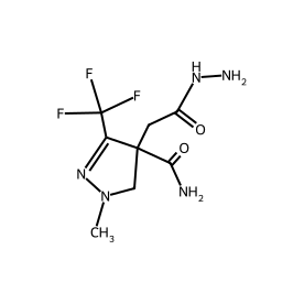 CN1CC(CC(=O)NN)(C(N)=O)C(C(F)(F)F)=N1